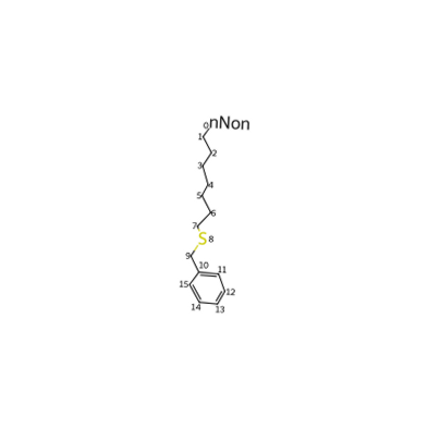 CCCCCCCCCCCCCCCCSCc1ccccc1